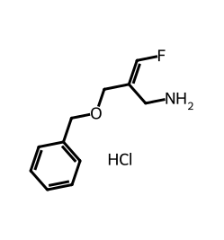 Cl.NC/C(=C\F)COCc1ccccc1